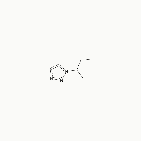 CCC(C)n1[c]cnn1